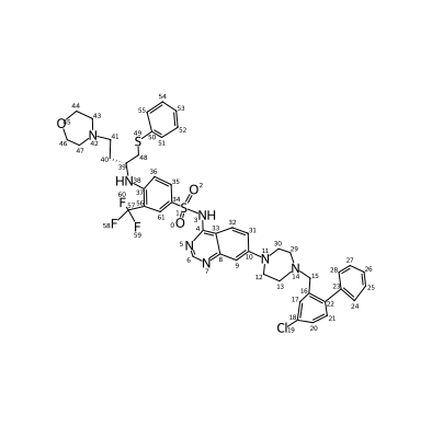 O=S(=O)(Nc1ncnc2cc(N3CCN(Cc4cc(Cl)ccc4-c4ccccc4)CC3)ccc12)c1ccc(N[C@H](CCN2CCOCC2)CSc2ccccc2)c(C(F)(F)F)c1